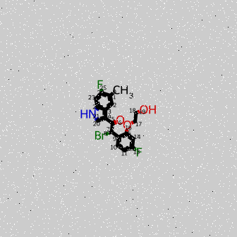 Cc1cc2c(C(=O)C(Br)c3ccc(F)cc3OCCO)c[nH]c2cc1F